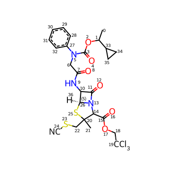 CC(OC(=O)N(CC(=O)NC1C(=O)N2C(C(=O)OCC(Cl)(Cl)Cl)C(C)(CSC#N)S[C@@H]12)c1ccccc1)C1CC1